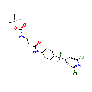 CC(C)(C)OC(=O)NCCC(=O)NC1CCC(C(F)(F)c2cc(Cl)nc(Cl)c2)CC1